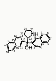 OC(c1ccc2ccccc2c1)(c1ccc2ccccc2c1)C1CCCN1